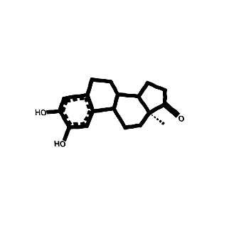 C[C@]12CCC3c4cc(O)c(O)cc4CCC3C1CCC2=O